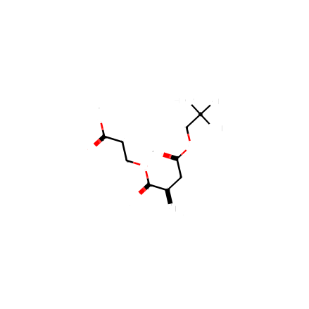 C=C(CC(=O)OCC(C)(C)C)C(=O)OCCC(=O)O